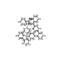 Cc1ccccc1C1(c2ccc(-c3ccccc3-c3ccc(C4=c5ccccc5=NC(c5ccccc5)N4)cc3)cc2C)c2ccccc2-c2ccccc21